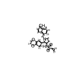 Cn1ccc2c(CN3CCC(NS(=O)(=O)C4CC4)C3c3ccc4c(c3)OCCO4)cccc21